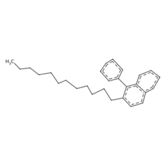 CCCCCCCCCCCCc1ccc2ccccc2c1-c1ccccc1